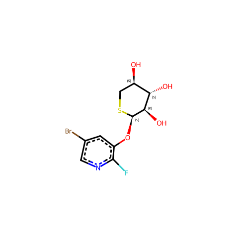 O[C@@H]1[C@@H](O)[C@@H](Oc2cc(Br)cnc2F)SC[C@H]1O